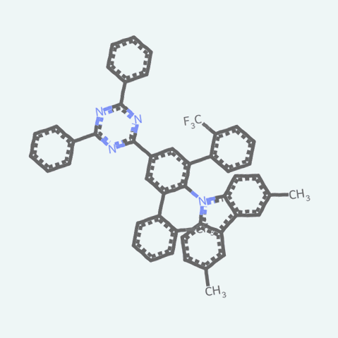 Cc1ccc2c(c1)c1cc(C)ccc1n2-c1c(-c2ccccc2C(F)(F)F)cc(-c2nc(-c3ccccc3)nc(-c3ccccc3)n2)cc1-c1ccccc1C(F)(F)F